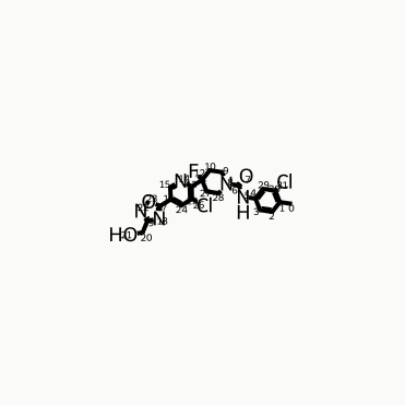 Cc1ccc(NC(=O)N2CCC(F)(c3ncc(-c4nc(CO)no4)cc3Cl)CC2)cc1Cl